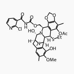 CCS[C@@H]1c2c(OC(C)=O)c(C)c3c(c2[C@H](COC(=O)NC(=O)c2cccnc2Cl)N2[C@@H]1[C@H]1c4c(cc(C)c(OC)c4O)C[C@@H]([C@@H]2O)N1C)OCO3